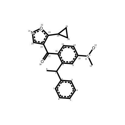 CC(c1ccccc1)c1cc([S+](C)[O-])ccc1C(=O)c1cnoc1C1CC1